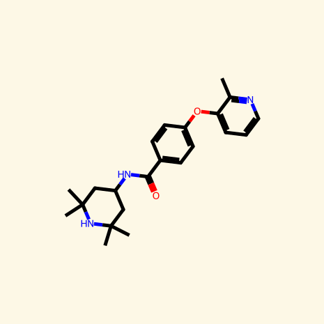 Cc1ncccc1Oc1ccc(C(=O)NC2CC(C)(C)NC(C)(C)C2)cc1